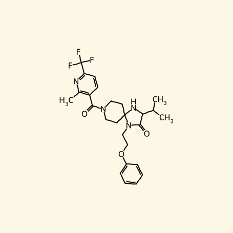 Cc1nc(C(F)(F)F)ccc1C(=O)N1CCC2(CC1)NC(C(C)C)C(=O)N2CCOc1ccccc1